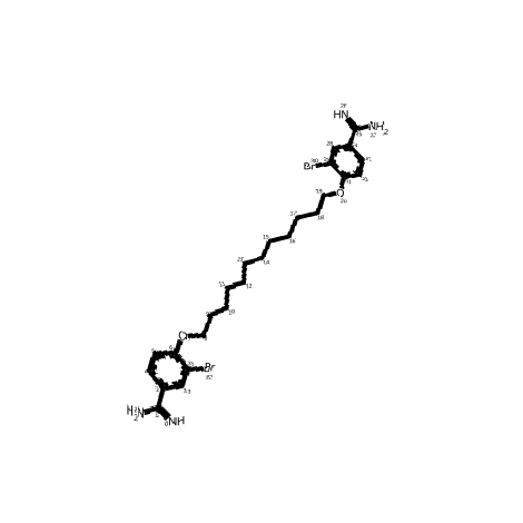 N=C(N)c1ccc(OCCCCCCCCCCCCOc2ccc(C(=N)N)cc2Br)c(Br)c1